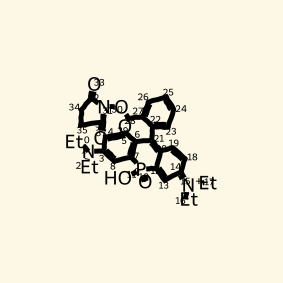 CCN(CC)c1ccc2c(c1)P(=O)(O)C1=CC(=[N+](CC)CC)C=CC1=C2c1ccccc1C(=O)ON1C(=O)CCC1=O